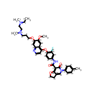 CCN(C)CCN(C)CCCOc1cc2nccc(Oc3ccc(NC(=O)c4c5c(cn(-c6ccc(C)cc6)c4=O)CCO5)cc3F)c2cc1OC